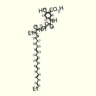 CCC=CCC=CCC=CCC=CCC=CCCCCSC(CC)C(=O)NCCOC(=O)Nc1ccc(O)c(C(=O)O)c1